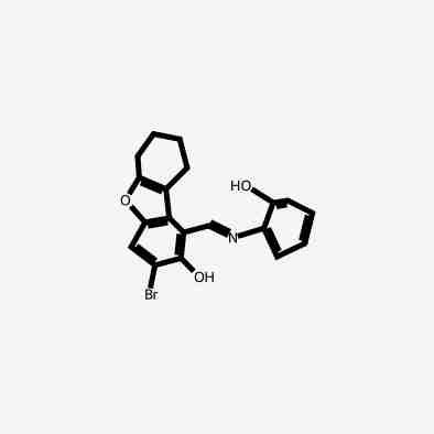 Oc1ccccc1N=Cc1c(O)c(Br)cc2oc3c(c12)CCCC3